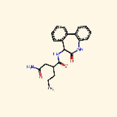 CCCC(CC(N)=O)C(=O)NC1C(=O)Nc2ccccc2-c2ccccc21